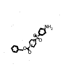 Nc1ccc(S(=O)(=O)N2CCN(C(=O)OCc3ccccc3)CC2)cc1